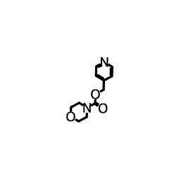 O=C(OCc1ccncc1)N1CCOCC1